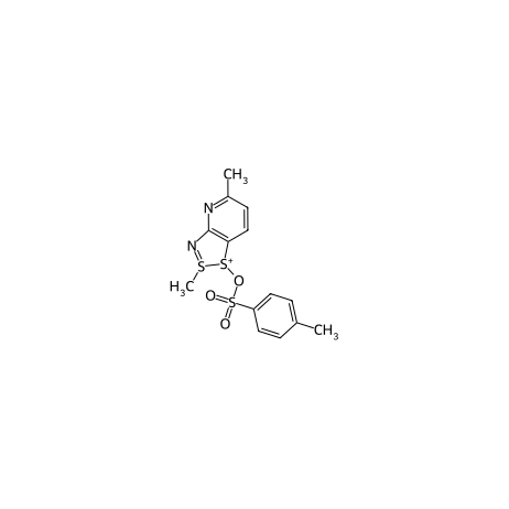 Cc1ccc(S(=O)(=O)O[S+]2c3ccc(C)nc3N=S2C)cc1